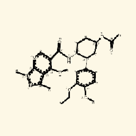 CCOc1cc([C@H]2C[C@H](OC(C)=O)CC[C@H]2NC(=O)c2cnc3c(c(C)nn3C)c2OC)ccc1OC